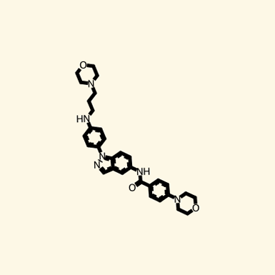 O=C(Nc1ccc2c(cnn2-c2ccc(NCCCN3CCOCC3)cc2)c1)c1ccc(N2CCOCC2)cc1